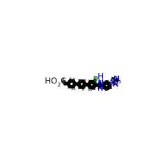 O=C(O)CC1CCC(C2=CC=C(c3ccc(-c4nc5ccc(-n6cncn6)cc5[nH]4)c(F)c3)CC2)CC1